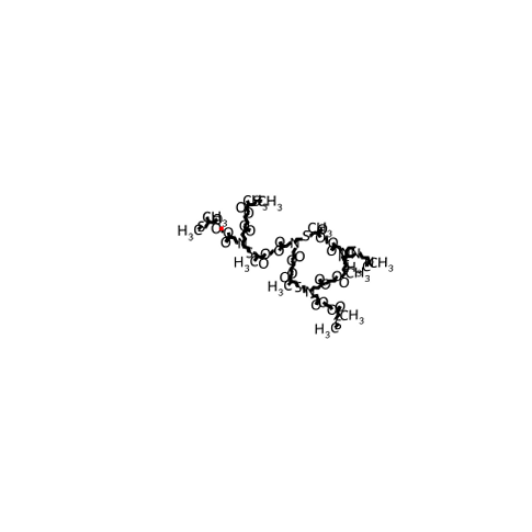 CSCC(C)C(=O)OCCOC(=O)CCN(CCSCC(C)C(=O)OCCOC(=O)CCN(CCSCC(C)C(=O)OCCOC(=O)CCN1CCN(CCCN(C)C)CC1)CCC(=O)OCCOC(=O)C(C)CSCCN(CCC(=O)OCCOC(=O)C(C)CSC)CCC(=O)OCCOC(=O)C(C)CSC#N)CCC(=O)OCCOC(=O)C(C)CSC